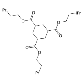 CC(C)CCOC(=O)C1CC(C(=O)OCCC(C)C)CC(C(=O)OCCC(C)C)C1